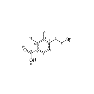 Cc1c(CCBr)ccc(C(=O)O)c1C